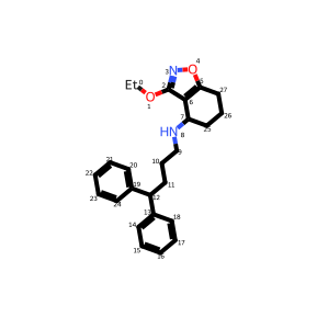 CCOc1noc2c1C(NCCCC(c1ccccc1)c1ccccc1)CCC2